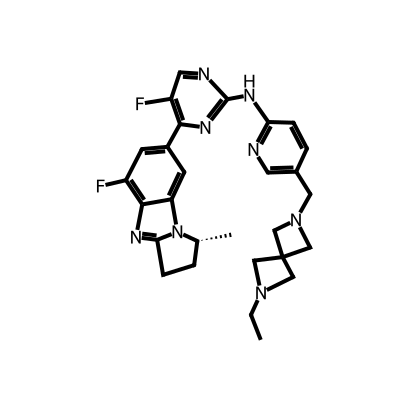 CCN1CC2(C1)CN(Cc1ccc(Nc3ncc(F)c(-c4cc(F)c5nc6n(c5c4)[C@H](C)CC6)n3)nc1)C2